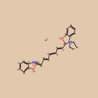 CC[N+]1(CC)c2ccccc2OC1C=CC=CC=CC=C1Nc2ccccc2O1.[I-]